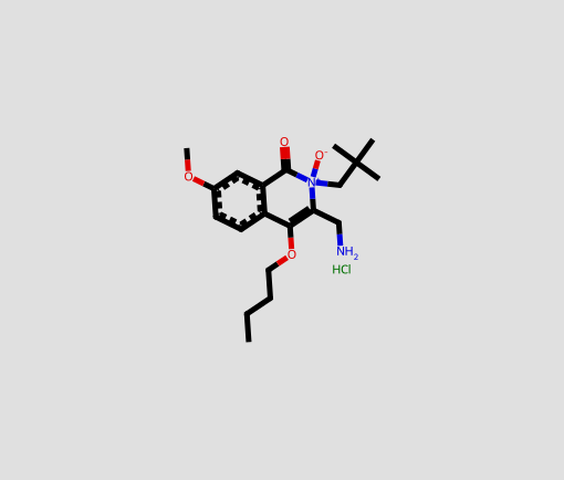 CCCCOC1=C(CN)[N+]([O-])(CC(C)(C)C)C(=O)c2cc(OC)ccc21.Cl